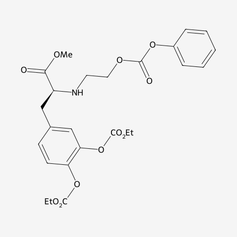 CCOC(=O)Oc1ccc(C[C@H](NCCOC(=O)Oc2ccccc2)C(=O)OC)cc1OC(=O)OCC